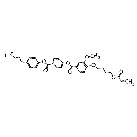 C=CC(=O)OCCCCOc1ccc(C(=O)Oc2ccc(C(=O)Oc3ccc(CCCC)cc3)cc2)cc1OC